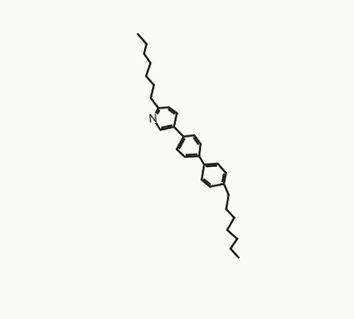 CCCCCCCc1ccc(-c2ccc(-c3ccc(CCCCCCC)nc3)cc2)cc1